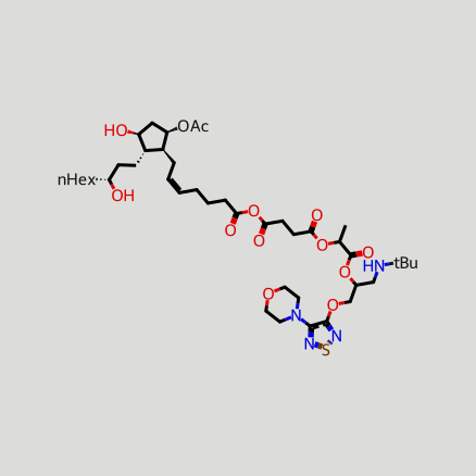 CCCCCC[C@@H](O)CC[C@H]1[C@H](C/C=C\CCCC(=O)OC(=O)CCC(=O)OC(C)C(=O)OC(CNC(C)(C)C)COc2nsnc2N2CCOCC2)[C@H](OC(C)=O)C[C@@H]1O